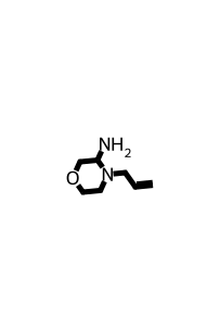 C=CCN1CCOCC1N